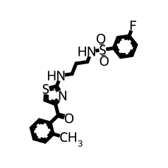 Cc1ccccc1C(=O)c1csc(NCCCNS(=O)(=O)c2cccc(F)c2)n1